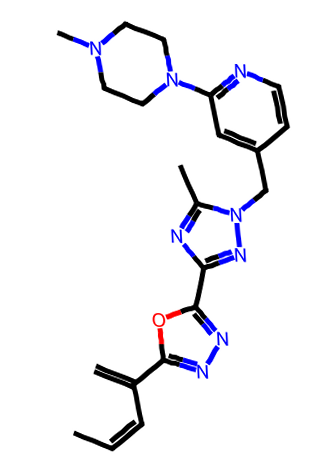 C=C(/C=C\C)c1nnc(-c2nc(C)n(Cc3ccnc(N4CCN(C)CC4)c3)n2)o1